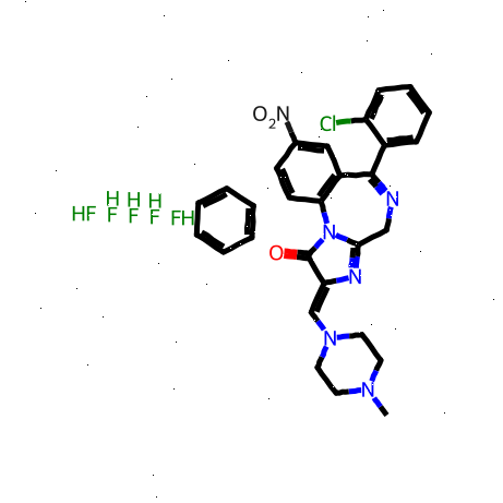 CN1CCN(/C=C2\N=C3CN=C(c4ccccc4Cl)c4cc([N+](=O)[O-])ccc4N3C2=O)CC1.F.F.F.F.F.c1ccccc1